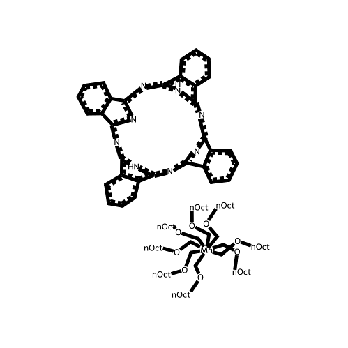 CCCCCCCCO[CH2][Mn-]([CH2]OCCCCCCCC)([CH2]OCCCCCCCC)([CH2]OCCCCCCCC)([CH2]OCCCCCCCC)([CH2]OCCCCCCCC)([CH2]OCCCCCCCC)[CH2]OCCCCCCCC.c1ccc2c(c1)-c1nc-2nc2[nH]c(nc3nc(nc4[nH]c(n1)c1ccccc41)-c1ccccc1-3)c1ccccc21